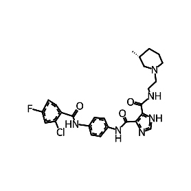 C[C@@H]1CCCN(CCNC(=O)c2[nH]cnc2C(=O)Nc2ccc(NC(=O)c3ccc(F)cc3Cl)cc2)C1